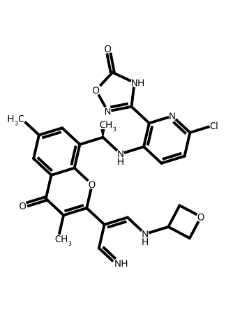 Cc1cc([C@@H](C)Nc2ccc(Cl)nc2-c2noc(=O)[nH]2)c2oc(/C(C=N)=C/NC3COC3)c(C)c(=O)c2c1